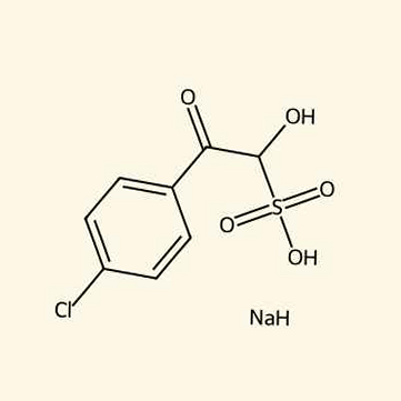 O=C(c1ccc(Cl)cc1)C(O)S(=O)(=O)O.[NaH]